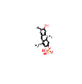 Cc1cc(OP(=O)(O)O)cc(C)c1Cc1ccc(O)c(C(C)C)c1